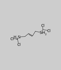 ClC(Cl)[SiH2]CC=CC[SiH2]C(Cl)Cl